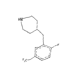 Fc1ccc(C(F)(F)F)cc1CC1CCNCC1